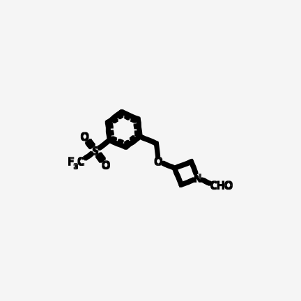 O=CN1CC(OCc2cccc(S(=O)(=O)C(F)(F)F)c2)C1